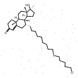 C[C@]12CCC(=O)C=C1C[C@@H](CCCCCCCCCSCCCCCCl)[C@@H]1[C@@H]2CC[C@@]2(C)[C@H]1CC[C@]2(C)O